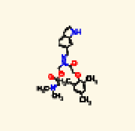 Cc1cc(C)c(OCC(=O)N(COC(=O)CN(C)C)N=Cc2ccc3cc[nH]c3c2)c(C)c1